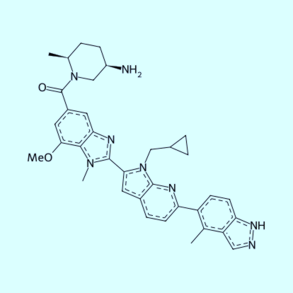 COc1cc(C(=O)N2C[C@H](N)CC[C@@H]2C)cc2nc(-c3cc4ccc(-c5ccc6[nH]ncc6c5C)nc4n3CC3CC3)n(C)c12